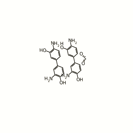 Nc1cc(-c2ccc(N)c(O)c2)ccc1O.Nc1cc(-c2ccc(N)c(O)c2)ccc1O.O=S=O